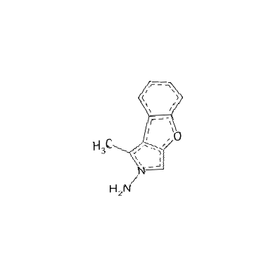 Cc1c2c(cn1N)oc1ccccc12